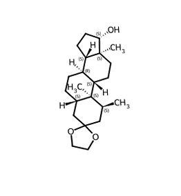 C[C@H]1CC2(C[C@@H]3CC[C@H]4[C@@H]5CC[C@H](O)[C@@]5(C)CC[C@@H]4[C@]31C)OCCO2